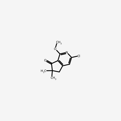 COc1nc(Cl)cc2c1C(=O)C(C)(C)C2